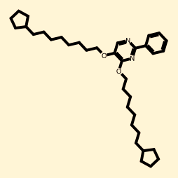 c1ccc(-c2ncc(OCCCCCCCCC3CCCC3)c(OCCCCCCCCC3CCCC3)n2)cc1